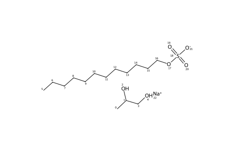 CC(O)CO.CCCCCCCCCCCCOS(=O)(=O)[O-].[Na+]